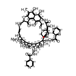 CO[C@H]1/C=C/O[C@@]2(C)Oc3c(C)c(O)c4c(O)c(c(/C=N/N5CCN(C)CC5)c(O)c4c3C2=O)NC(=O)/C(C)=C\C=C\[C@H](C)[C@H](O)[C@@H](C)[C@@H](O)[C@@H](C)[C@H](OC(C)=O)[C@@H]1C.NC(=O)c1cnccn1.NNC(=O)c1ccncc1